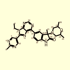 CCn1c(-c2cnc(C)nc2)nc2c(-c3ccc4c(c3)C(C)(N3CC(C)OC(C)C3)C(=O)N4)ncnc21